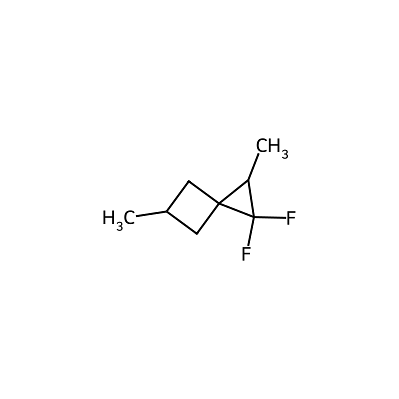 CC1CC2(C1)C(C)C2(F)F